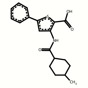 CC1CCC(C(=O)Nc2cc(-c3ccccc3)sc2C(=O)O)CC1